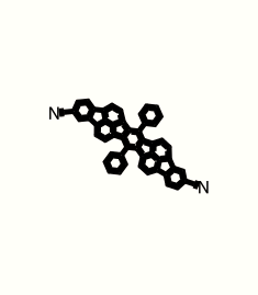 N#Cc1ccc2c(c1)-c1ccc3c4c(-c5ccccc5)c5c6ccc7c8c(ccc(c5c(-c5ccccc5)c4c4ccc-2c1c43)c86)-c1cc(C#N)ccc1-7